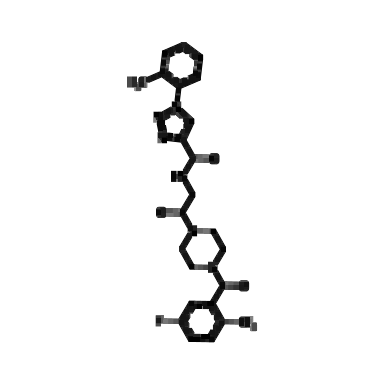 Cc1ccccc1-n1cc(C(=O)NCC(=O)N2CCN(C(=O)c3cc(F)ccc3C(F)(F)F)CC2)nn1